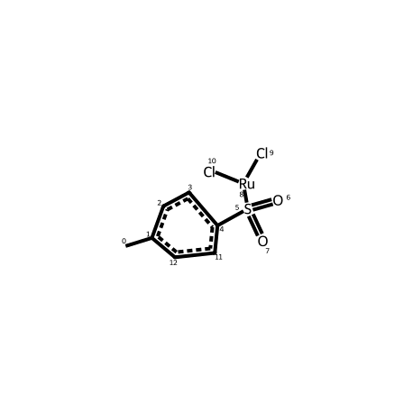 Cc1ccc([S](=O)(=O)[Ru]([Cl])[Cl])cc1